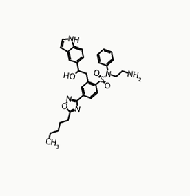 CCCCCc1nc(-c2ccc(S(=O)(=O)N(CCN)c3ccccc3)c(CC(O)c3ccc4[nH]ccc4c3)c2)no1